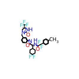 Cc1ccc(C(F)(F)C(=O)N[C@H](c2nc3cc(CN4C[C@@H](C(F)(F)F)NC4=O)ccc3o2)C2CCC(F)(F)CC2)cc1